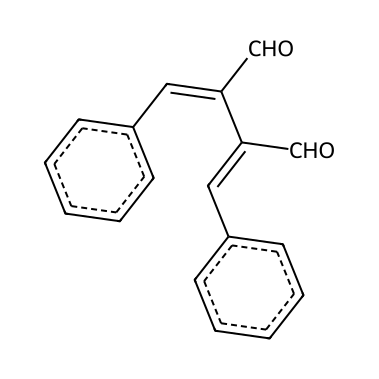 O=CC(=Cc1ccccc1)C(C=O)=Cc1ccccc1